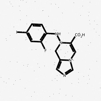 O=C(O)C1=C[N+]2C=NC=C2CN1Nc1ccc(I)cc1F